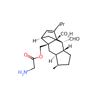 CC(C)C1=C[C@H]2C[C@@]3(C=O)[C@@H]4CC[C@@H](C)[C@H]4C[C@@]2(COC(=O)CN)[C@]13C(=O)O